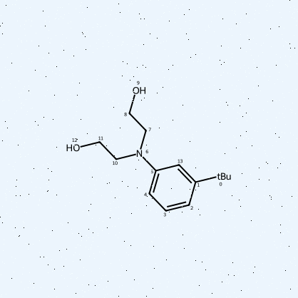 CC(C)(C)c1cccc(N(CCO)CCO)c1